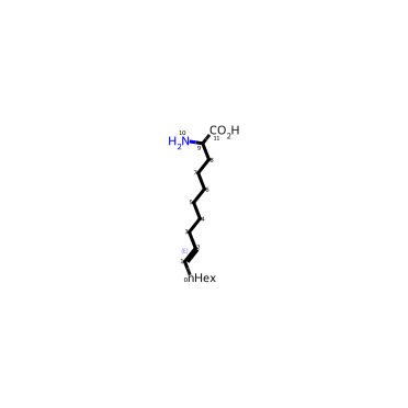 CCCCCC/C=C/CCCCCCC(N)C(=O)O